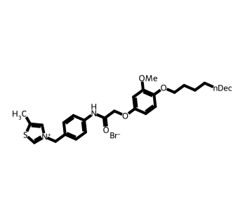 CCCCCCCCCCCCCCOc1ccc(OCC(=O)Nc2ccc(C[n+]3csc(C)c3)cc2)cc1OC.[Br-]